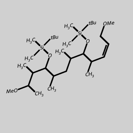 COC/C=C\C(C)C(O[Si](C)(C)C(C)(C)C)C(C)CC(C)C(O[Si](C)(C)C(C)(C)C)C(C)C(C)OC